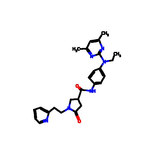 CCN(c1ccc(NC(=O)C2CC(=O)N(CCc3ccccn3)C2)cc1)c1nc(C)cc(C)n1